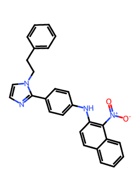 O=[N+]([O-])c1c(Nc2ccc(-c3nccn3CCc3ccccc3)cc2)ccc2ccccc12